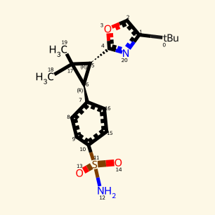 CC(C)(C)c1coc([C@@H]2[C@@H](c3ccc(S(N)(=O)=O)cc3)C2(C)C)n1